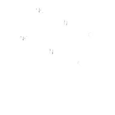 N#Cc1nc(Cl)c(Sc2ccccc2)nc1C#N